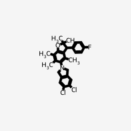 Cc1c(C)c(N2Cc3cc(Cl)c(Cl)cc3C2)c(C)c2c1OC(C)(C)C2c1ccc(F)cc1